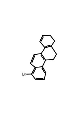 Brc1cccc2c3c(ccc12)C1=C(CCC=C1)CC3